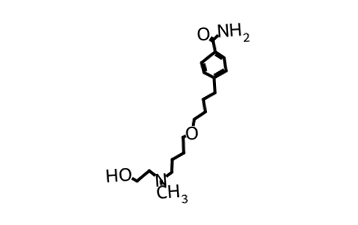 CN(CCO)CCCCOCCCCc1ccc(C(N)=O)cc1